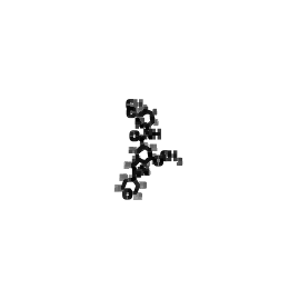 COc1cccc(NC(=O)c2cc(OC)c3nn(C4CCOCC4)cc3c2)n1